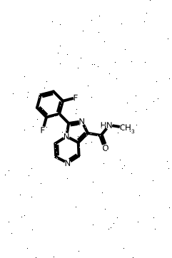 CNC(=O)c1nc(-c2c(F)cccc2F)n2ccncc12